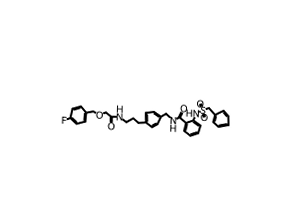 O=C(COCc1ccc(F)cc1)NCCCc1ccc(CNC(=O)c2ccccc2NS(=O)(=O)Cc2ccccc2)cc1